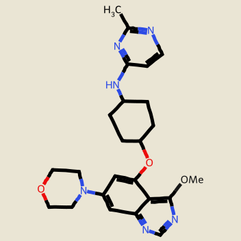 COc1ncnc2cc(N3CCOCC3)cc(OC3CCC(Nc4ccnc(C)n4)CC3)c12